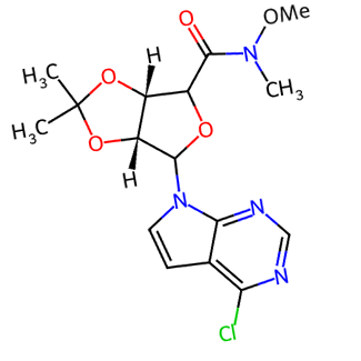 CON(C)C(=O)C1OC(n2ccc3c(Cl)ncnc32)[C@@H]2OC(C)(C)O[C@H]12